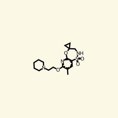 Cc1cc2c(nc1OCCN1CCCCC1)OC1(CC1)CNS2(=O)=O